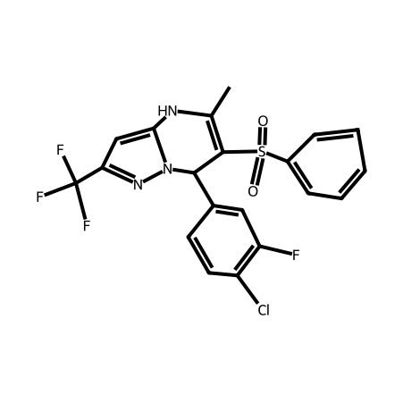 CC1=C(S(=O)(=O)c2ccccc2)C(c2ccc(Cl)c(F)c2)n2nc(C(F)(F)F)cc2N1